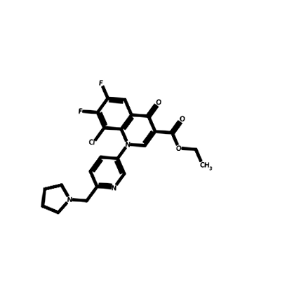 CCOC(=O)c1cn(-c2ccc(CN3CCCC3)nc2)c2c(Cl)c(F)c(F)cc2c1=O